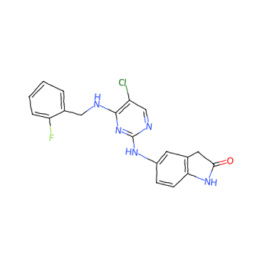 O=C1Cc2cc(Nc3ncc(Cl)c(NCc4ccccc4F)n3)ccc2N1